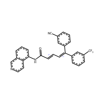 N#Cc1cccc(/C(=C\C=C\C(=O)Nc2cccc3cnccc23)c2cccc(C(F)(F)F)c2)c1